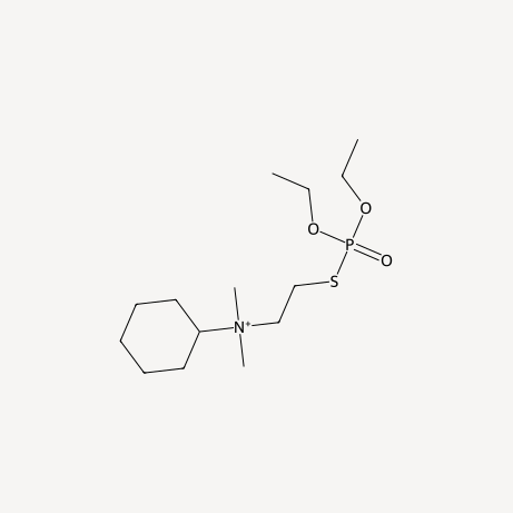 CCOP(=O)(OCC)SCC[N+](C)(C)C1CCCCC1